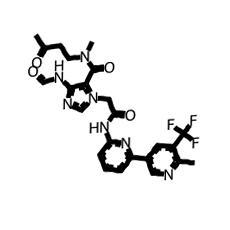 CC(=O)CCN(C)C(=O)c1c(NC=O)ncn1CC(=O)Nc1cccc(-c2cnc(C)c(C(F)(F)F)c2)n1